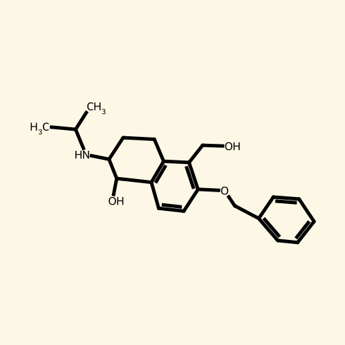 CC(C)NC1CCc2c(ccc(OCc3ccccc3)c2CO)C1O